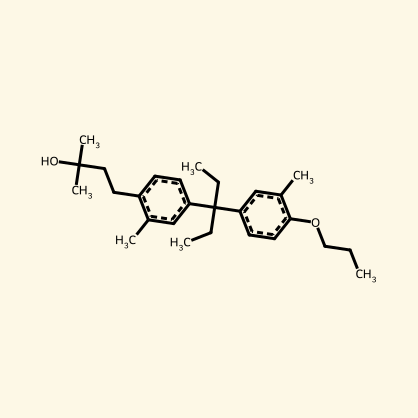 CCCOc1ccc(C(CC)(CC)c2ccc(CCC(C)(C)O)c(C)c2)cc1C